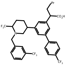 CC(C)CC(C(=O)O)c1cc(-c2ccc(C(F)(F)F)cc2)cc(C2CCC(C(F)(F)F)N(Cc3cccc(C(F)(F)F)c3)C2)c1